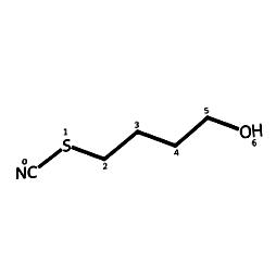 N#CSCCCCO